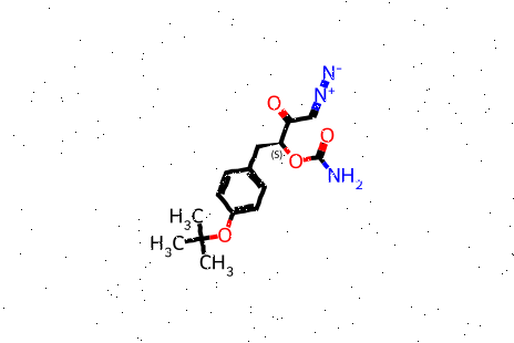 CC(C)(C)Oc1ccc(C[C@H](OC(N)=O)C(=O)C=[N+]=[N-])cc1